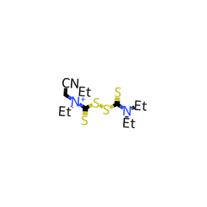 CCN(CC)C(=S)SSC(=S)[N+](CC)(CC)CC#N